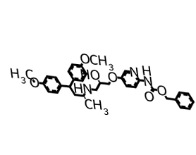 COc1ccc(C(C[C@@H](C)NC[C@@H](O)COc2ccc(NC(=O)OCc3ccccc3)nc2)c2ccc(OC)cc2)cc1